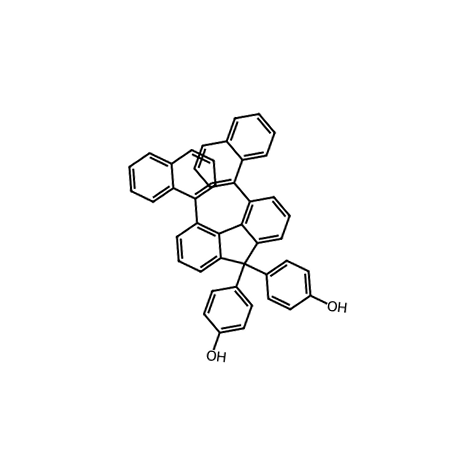 Oc1ccc(C2(c3ccc(O)cc3)c3cccc(-c4cccc5ccccc45)c3-c3c(-c4cccc5ccccc45)cccc32)cc1